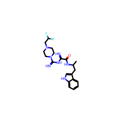 CC(Cc1c[nH]c2ccccc12)NC(=O)C(=N)NC(=N)N1CCN(CC(F)F)CC1